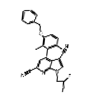 Cc1ccc(OCc2ccccc2)c(C)c1-c1cc(C#N)nc2c1c(C#N)cn2CC(F)F